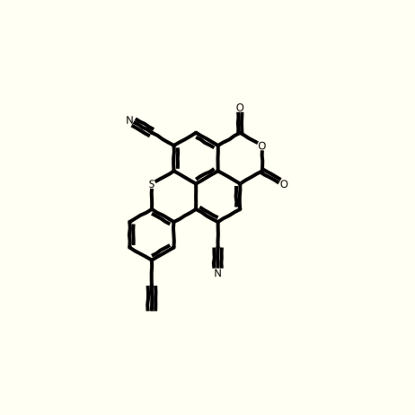 C#Cc1ccc2sc3c(C#N)cc4c(=O)oc(=O)c5cc(C#N)c(c2c1)c3c45